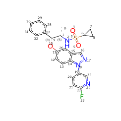 C[C@H](NS(=O)(=O)C1CC1)[C@H](Oc1ccc2c(cnn2-c2ccc(F)nc2)c1)c1ccccc1